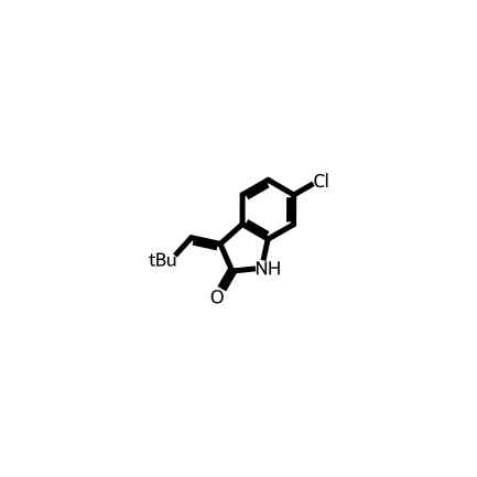 CC(C)(C)C=C1C(=O)Nc2cc(Cl)ccc21